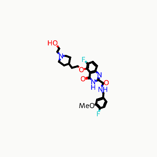 COc1cc(CNC(=O)c2nc3ccc(F)c(OCCC4CCN(CCO)CC4)c3c(=O)[nH]2)ccc1F